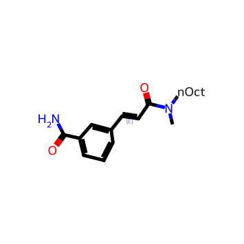 CCCCCCCCN(C)C(=O)/C=C/c1cccc(C(N)=O)c1